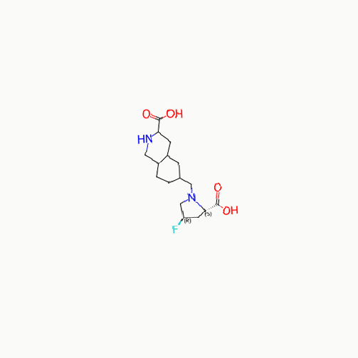 O=C(O)C1CC2CC(CN3C[C@H](F)C[C@H]3C(=O)O)CCC2CN1